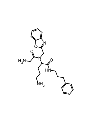 NCCCC(C(=O)NCCCc1ccccc1)N(Cc1nc2ccccc2o1)C(=O)CN